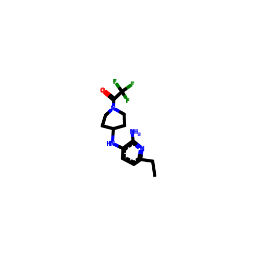 CCc1ccc(NC2CCN(C(=O)C(F)(F)F)CC2)c(N)n1